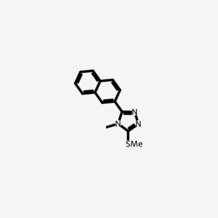 CSc1nnc(-c2ccc3ccccc3c2)n1C